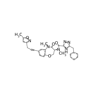 Cc1cc(CC#Cc2ccc3c(c2)N(C)C(=O)[C@@H](N(C)C(=O)c2nnc(Cc4ccccc4)[nH]2)CO3)no1